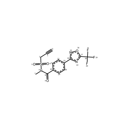 C#CCS(=O)(=O)N(C)C(=O)c1ccc(-c2noc(C(F)(F)F)n2)cc1